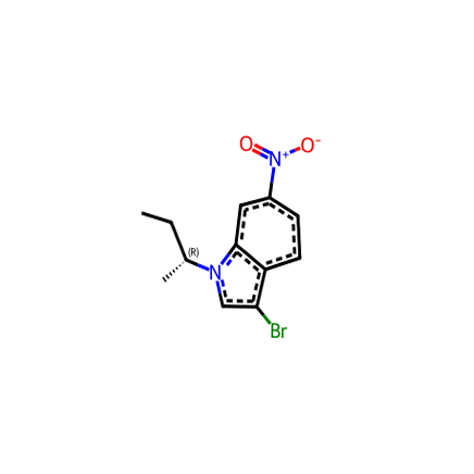 CC[C@@H](C)n1cc(Br)c2ccc([N+](=O)[O-])cc21